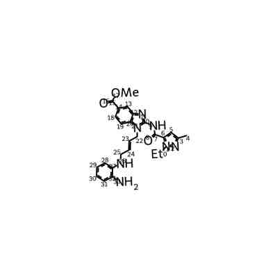 CCn1nc(C)cc1C(=O)Nc1nc2cc(C(=O)OC)ccc2n1C/C=C/CNc1ccccc1N